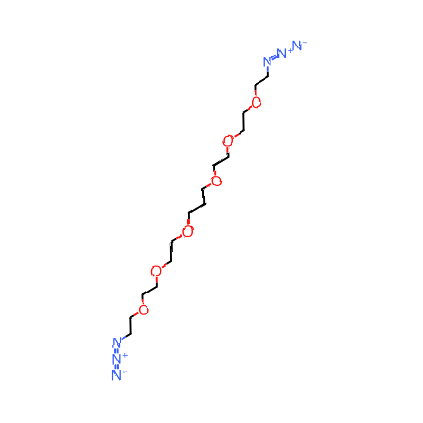 [N-]=[N+]=NCCOCCOCCOCCCOCCOCCOCCN=[N+]=[N-]